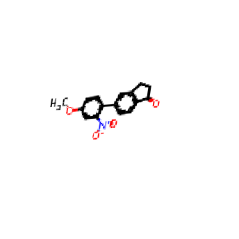 COc1ccc(-c2ccc3c(c2)CCC3=O)c([N+](=O)[O-])c1